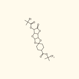 CCC(C)(C)C(=O)OC1C(=O)OC2C3OC4(CCC(C(=O)OC(C)(C)C(F)(F)F)CC4)OC3OC12